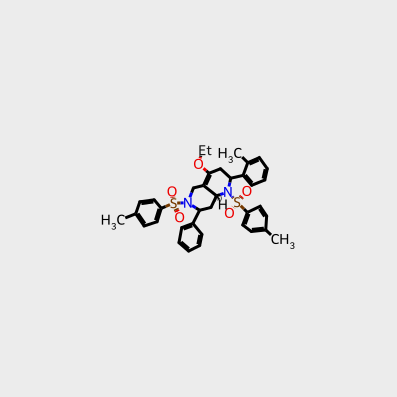 CCOC1=C2CN(S(=O)(=O)c3ccc(C)cc3)C(c3ccccc3)C[C@@H]2N(S(=O)(=O)c2ccc(C)cc2)C(c2ccccc2C)C1